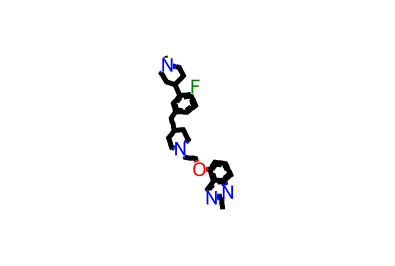 Cc1ncc2c(OCCN3CCC(Cc4ccc(F)c(C5CCN(C)CC5)c4)CC3)cccc2n1